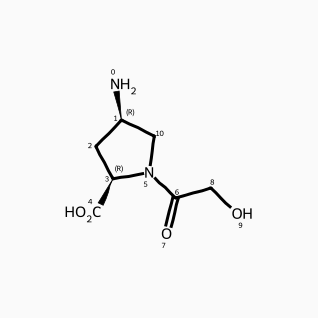 N[C@@H]1C[C@H](C(=O)O)N(C(=O)CO)C1